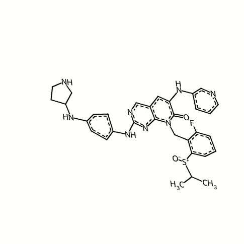 CC(C)[S+]([O-])c1cccc(F)c1Cn1c(=O)c(Nc2cccnc2)cc2cnc(Nc3ccc(NC4CCNC4)cc3)nc21